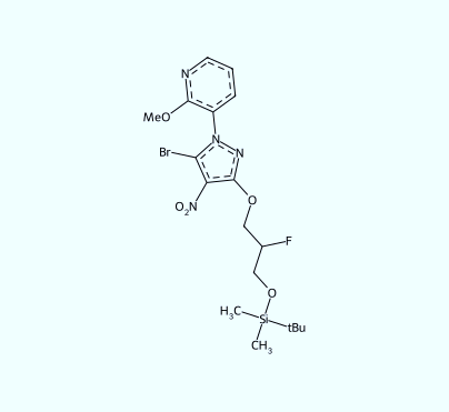 COc1ncccc1-n1nc(OCC(F)CO[Si](C)(C)C(C)(C)C)c([N+](=O)[O-])c1Br